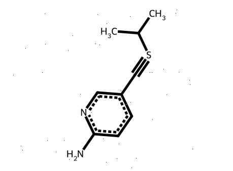 CC(C)S#Cc1ccc(N)nc1